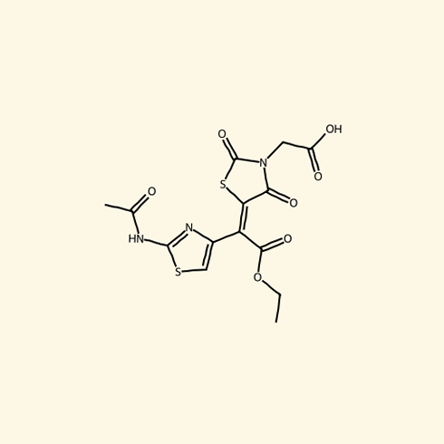 CCOC(=O)C(=C1SC(=O)N(CC(=O)O)C1=O)c1csc(NC(C)=O)n1